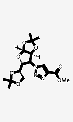 COC(=O)c1cn(C2[C@H]([C@H]3COC(C)(C)O3)O[C@@H]3OC(C)(C)O[C@@H]23)nn1